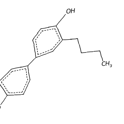 CCCCc1cc(-c2ccc(O)cc2)ccc1O